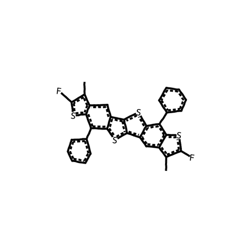 Cc1c(F)sc2c(-c3ccccc3)c3sc4c5cc6c(C)c(F)sc6c(-c6ccccc6)c5sc4c3cc12